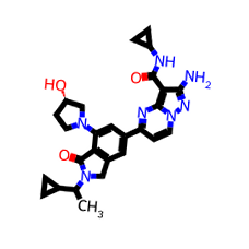 CC(C1CC1)N1Cc2cc(-c3ccn4nc(N)c(C(=O)NC5CC5)c4n3)cc(N3CC[C@H](O)C3)c2C1=O